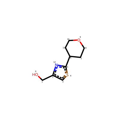 OCc1csc(C2CCOCC2)n1